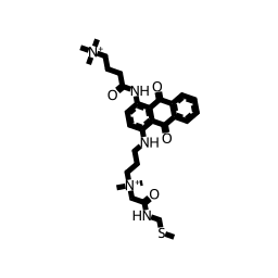 CSCNC(=O)C[N+](C)(C)CCCNc1ccc(NC(=O)CCC[N+](C)(C)C)c2c1C(=O)c1ccccc1C2=O